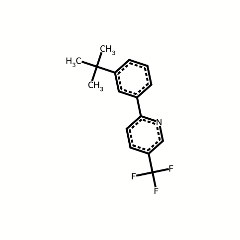 CC(C)(C)c1cccc(-c2ccc(C(F)(F)F)cn2)c1